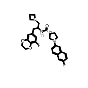 O=C(NC(Cc1cc(F)c2c(c1)OCCO2)CN1CCC1)[C@@H]1CCN(c2ccc3cc(F)ccc3c2)C1